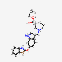 CCOC(=O)[C@@H]1CCCN(Cc2c[nH]c3cc(Oc4nc5ccccc5s4)ccc23)C1